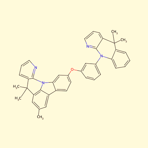 Cc1cc2c3c(c1)c1ccc(Oc4cccc(N5c6ccccc6C(C)(C)c6cccnc65)c4)cc1n3-c1ncccc1C2(C)C